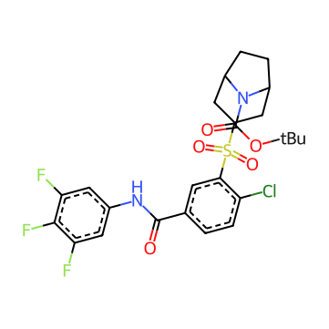 CC(C)(C)OC(=O)N1C2CCC1CC(S(=O)(=O)c1cc(C(=O)Nc3cc(F)c(F)c(F)c3)ccc1Cl)C2